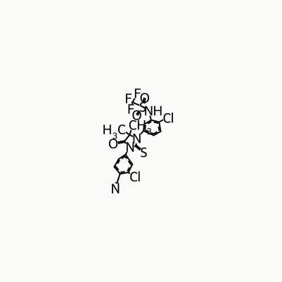 CC1(C)C(=O)N(c2ccc(C#N)c(Cl)c2)C(=S)N1c1ccc(Cl)c(NS(=O)(=O)C(F)(F)F)c1